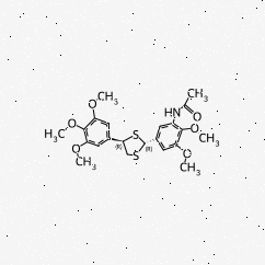 COc1cc([C@@H]2SC[C@@H](c3cc(OC)c(OC)c(OC)c3)S2)cc(NC(C)=O)c1OC